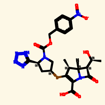 C[C@@H](O)[C@H]1C(=O)N2C(C(=O)O)=C(S[C@H]3C[C@@H](c4nnn[nH]4)N(C(=O)OCc4ccc([N+](=O)[O-])cc4)C3)[C@H](C)[C@H]12